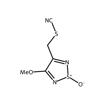 COc1n[s+]([O-])nc1CSC#N